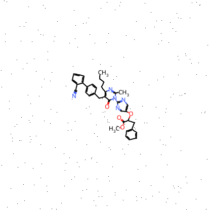 CCCCc1nc(C)n(-c2ncc(OC(Cc3ccccc3)C(=O)OC)cn2)c(=O)c1Cc1ccc(-c2ccccc2C#N)cc1